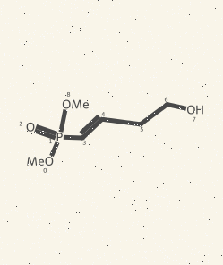 COP(=O)(C=CCCO)OC